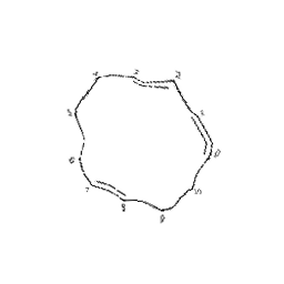 [C]1=C\C=C/CCC/C=C\CC/1